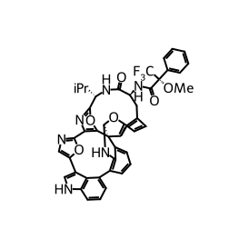 CO[C@@](C(=O)N[C@H]1Cc2ccc3c(c2)[C@]24c5cccc(c5NC2O3)-c2cccc3[nH]cc(c23)-c2cnc(o2)-c2nc(oc24)[C@H](C(C)C)NC1=O)(c1ccccc1)C(F)(F)F